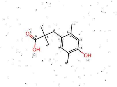 Cc1cc(CC(C)(C)C(=O)O)c(C)cc1O